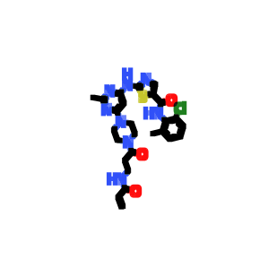 C=CC(=O)NCCC(=O)N1CCN(c2cc(Nc3ncc(C(=O)Nc4c(C)cccc4Cl)s3)nc(C)n2)CC1